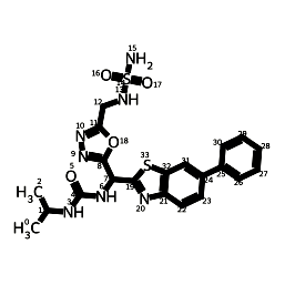 CC(C)NC(=O)NC(c1nnc(CNS(N)(=O)=O)o1)c1nc2ccc(-c3ccccc3)cc2s1